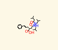 CC(C)CC(=O)N(CC(C)C)NC(=O)[C@H](CC(C)C)[C@H](CC=Cc1ccccc1)C(=O)O